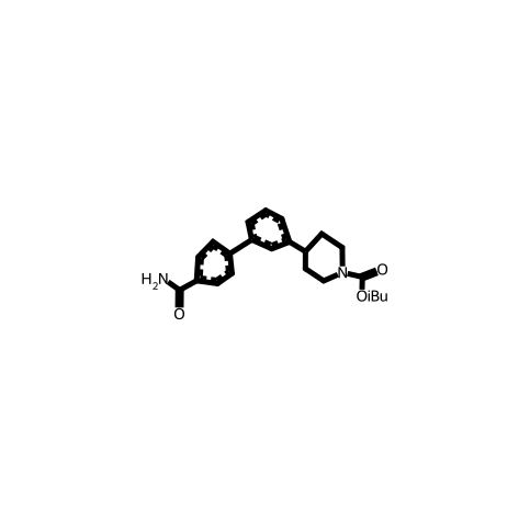 CC(C)COC(=O)N1CCC(c2cccc(-c3ccc(C(N)=O)cc3)c2)CC1